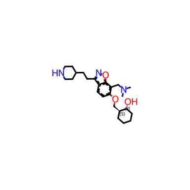 CN(C)Cc1c(OC[C@@H]2CCCC[C@H]2O)ccc2c(CCC3CCNCC3)noc12